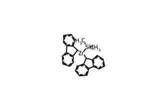 C[SiH](C)[Zr]([CH]1c2ccccc2-c2ccccc21)[CH]1c2ccccc2-c2ccccc21